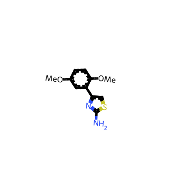 COc1ccc(OC)c(-c2csc(N)n2)c1